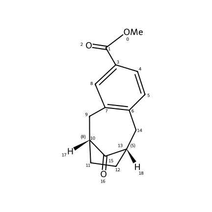 COC(=O)c1ccc2c(c1)C[C@H]1CC[C@@H](C2)C1=O